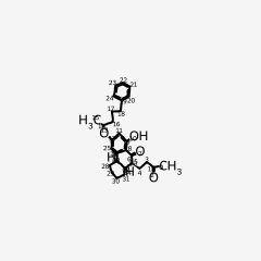 CC(=O)CC[C@@H]1C(=O)c2c(O)cc(OC(C)CCCc3ccccc3)cc2[C@H]2CCCC[C@@H]12